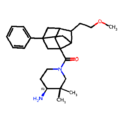 COCCC1C2CC3(c4ccccc4)CC1C(C(=O)N1CC[C@H](N)C(C)(C)C1)(C2)C3